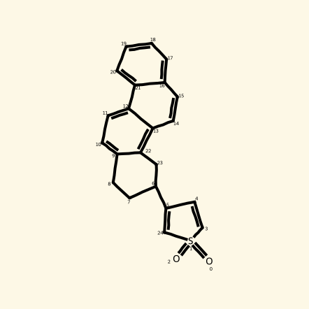 O=S1(=O)C=CC(C2CCc3ccc4c(ccc5ccccc54)c3C2)=C1